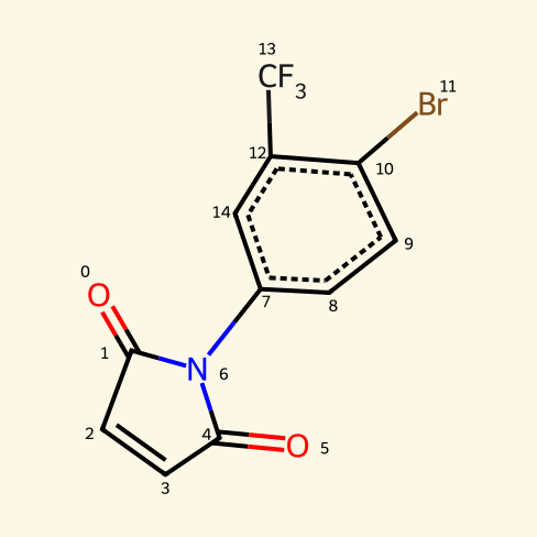 O=C1C=CC(=O)N1c1ccc(Br)c(C(F)(F)F)c1